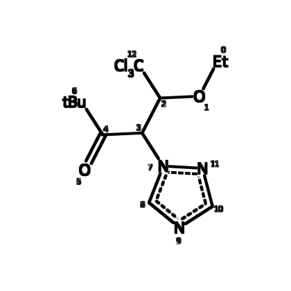 CCOC(C(C(=O)C(C)(C)C)n1cncn1)C(Cl)(Cl)Cl